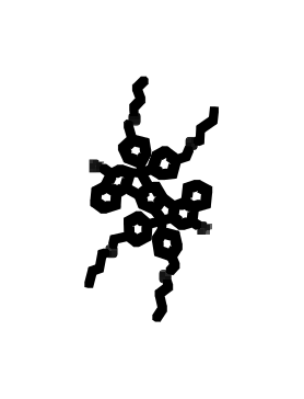 CCCCOCc1ccc(C2(c3ccc(COCCCC)cc3)c3cc4c(cc3-c3c2cc(Br)c2ccccc32)C(c2ccc(COCCCC)cc2)(c2ccc(COCCCC)cc2)c2cc(Br)c3ccccc3c2-4)cc1